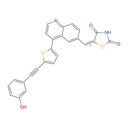 O=C1NC(=O)/C(=C\c2ccc3nccc(-c4ccc(C#Cc5cccc(O)c5)s4)c3c2)S1